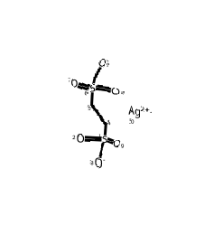 O=S(=O)([O-])CCS(=O)(=O)[O-].[Ag+2]